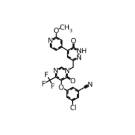 COc1cc(-c2cc(Cn3cnc(C(F)(F)F)c(Oc4cc(Cl)cc(C#N)c4)c3=O)n[nH]c2=O)ccn1